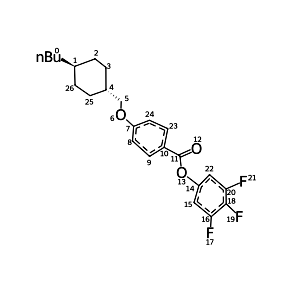 CCCC[C@H]1CC[C@H](COc2ccc(C(=O)Oc3cc(F)c(F)c(F)c3)cc2)CC1